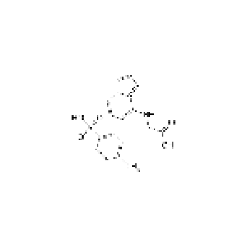 Cc1ccc(S(=O)(=O)O)cc1.O=C(O)CNC1=CC=CC2C=CC=C12